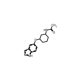 CC(=O)NC1CCCC(Oc2ccc3[nH]ncc3c2)C1